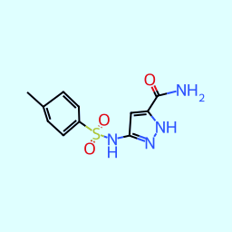 Cc1ccc(S(=O)(=O)Nc2cc(C(N)=O)[nH]n2)cc1